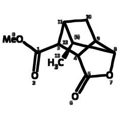 COC(=O)C1C2C(=O)OC3C2CC1[C@@H]3C